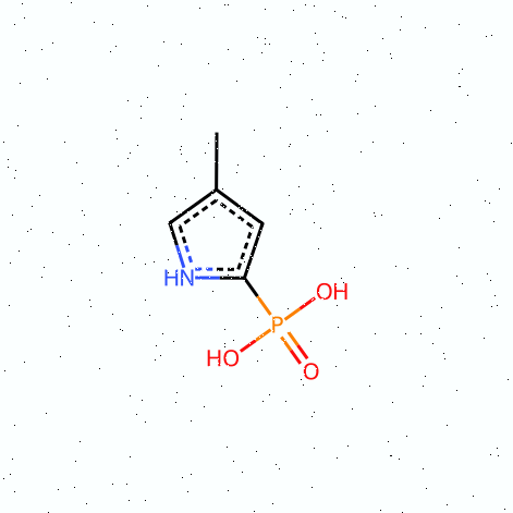 Cc1c[nH]c(P(=O)(O)O)c1